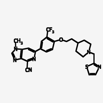 Cn1cnc2c(C#N)nc(-c3ccc(OCCC4CCN(Cc5nccs5)CC4)c(C(F)(F)F)c3)cc21